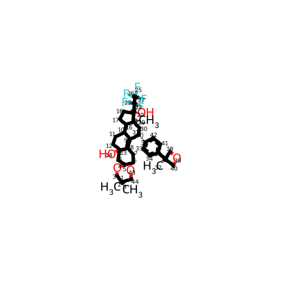 CC1(C)COC2(CCC3=C4C(CCC3(O)C2)C2CC[C@@](O)(C(F)(F)C(F)(F)F)[C@@]2(C)C[C@@H]4c2ccc(C3(C)COC3)cc2)OC1